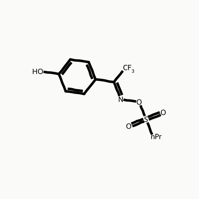 CCCS(=O)(=O)O/N=C(/c1ccc(O)cc1)C(F)(F)F